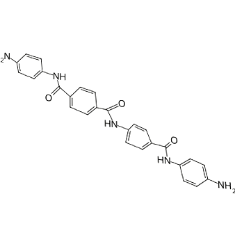 Nc1ccc(NC(=O)c2ccc(NC(=O)c3ccc(C(=O)Nc4ccc(N)cc4)cc3)cc2)cc1